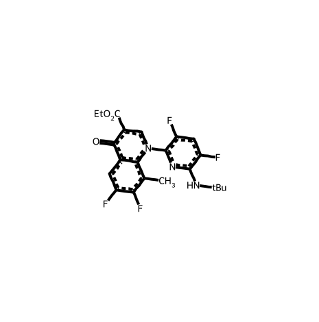 CCOC(=O)c1cn(-c2nc(NC(C)(C)C)c(F)cc2F)c2c(C)c(F)c(F)cc2c1=O